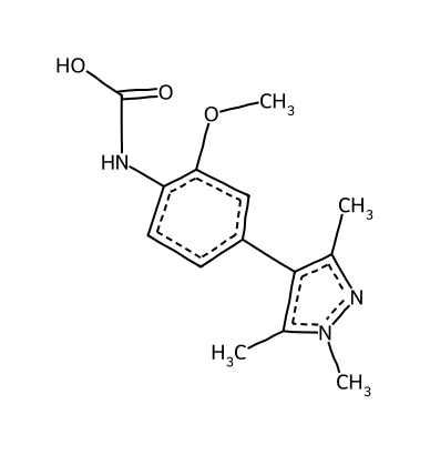 COc1cc(-c2c(C)nn(C)c2C)ccc1NC(=O)O